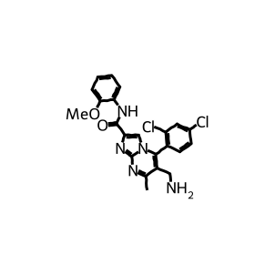 COc1ccccc1NC(=O)c1cn2c(-c3ccc(Cl)cc3Cl)c(CN)c(C)nc2n1